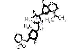 C=N/C(=N\C(=C(/C)F)c1cc(F)c2c(c1)N(C(C)C)CCO2)Nc1ccc(CN2CCCCS2(=O)=O)c(F)c1